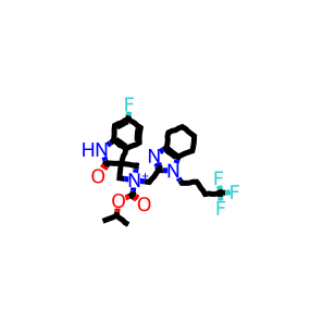 CC(C)OC(=O)[N+]1(Cc2nc3c(n2CCCC(F)(F)F)CCCC3)CC2(C1)C(=O)Nc1cc(F)ccc12